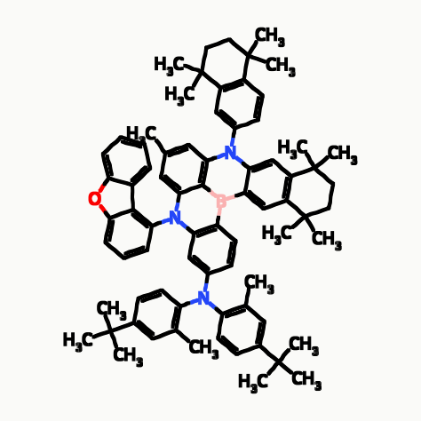 Cc1cc2c3c(c1)N(c1cccc4oc5ccccc5c14)c1cc(N(c4ccc(C(C)(C)C)cc4C)c4ccc(C(C)(C)C)cc4C)ccc1B3c1cc3c(cc1N2c1ccc2c(c1)C(C)(C)CCC2(C)C)C(C)(C)CCC3(C)C